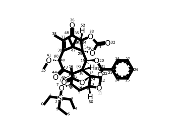 CC[Si](CC)(CC)O[C@H]1C[C@H]2OC[C@@]2(OC(C)=O)[C@H]2[C@H](OC(=O)c3ccccc3)[C@]34OC(=O)O[C@H]3C(=O)C(C)=C([C@@H](OC)C(=O)[C@]12C)C4(C)C